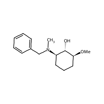 CO[C@H]1CCC[C@@H](N(C)Cc2ccccc2)[C@@H]1O